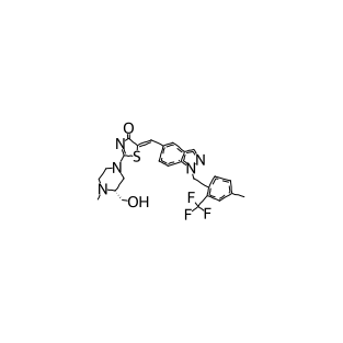 Cc1ccc(Cn2ncc3cc(/C=C4\SC(N5CCN(C)[C@@H](CO)C5)=NC4=O)ccc32)c(C(F)(F)F)c1